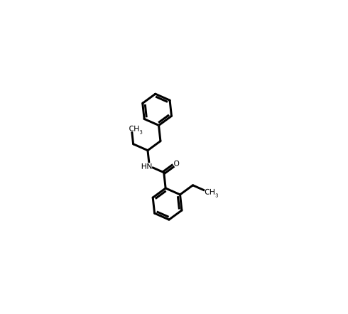 CCc1ccccc1C(=O)NC(CC)Cc1ccccc1